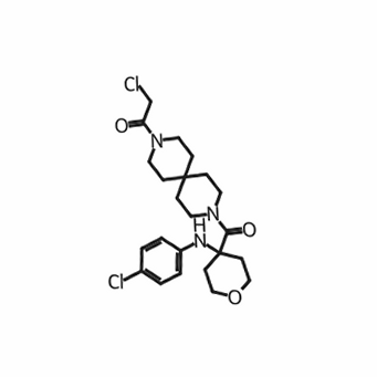 O=C(CCl)N1CCC2(CC1)CCN(C(=O)C1(Nc3ccc(Cl)cc3)CCOCC1)CC2